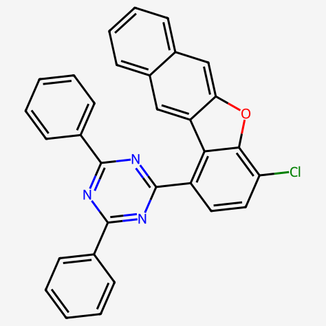 Clc1ccc(-c2nc(-c3ccccc3)nc(-c3ccccc3)n2)c2c1oc1cc3ccccc3cc12